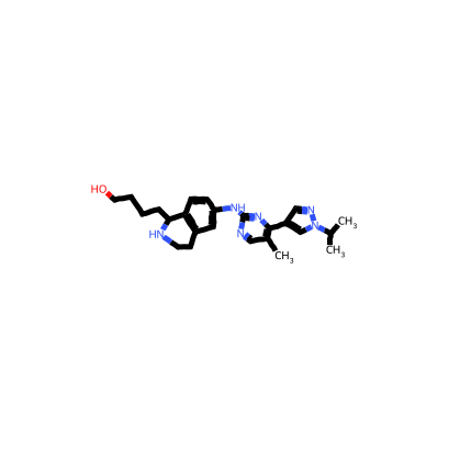 Cc1cnc(Nc2ccc3c(c2)CCNC3CCCCO)nc1-c1cnn(C(C)C)c1